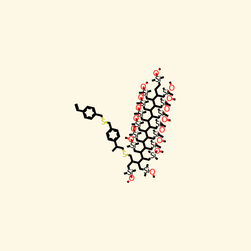 C=Cc1ccc(CSCc2ccc(C(C)CSCC(C[Si](C)(C)OC)C(C[Si](C)(C)OC)C(C[Si](C)(C)OC)C(C[Si](C)(C)OC)C(C[Si](C)(C)OC)C(C[Si](C)(C)OC)C(C[Si](C)(C)OC)C(C[Si](C)(C)OC)C(C[Si](C)(C)OC)C(C[Si](C)(C)OC)C(C[Si](C)(C)OC)C(C[Si](C)(C)OC)C(C[Si](C)(C)OC)C(C[Si](C)(C)OC)C(CC[Si](C)(C)OC)C[Si](C)(C)OC)cc2)cc1